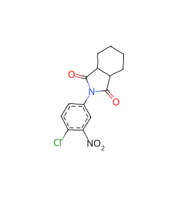 O=C1C2CCCCC2C(=O)N1c1ccc(Cl)c([N+](=O)[O-])c1